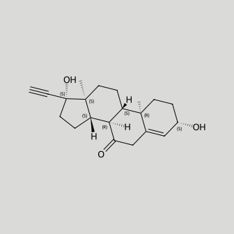 C#C[C@]1(O)CC[C@H]2[C@@H]3C(=O)CC4=C[C@@H](O)CC[C@]4(C)[C@H]3CC[C@@]21C